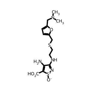 CN(C)Cc1ccc(CSCCNc2n[s+]([O-])c(C(=O)O)c2N)o1